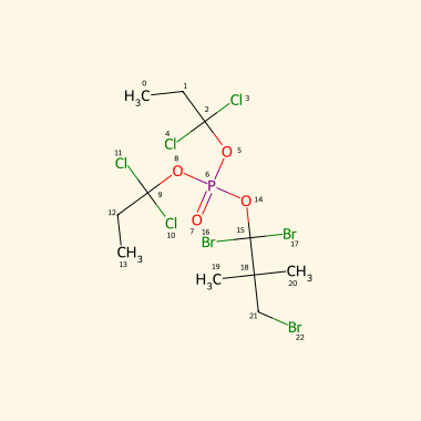 CCC(Cl)(Cl)OP(=O)(OC(Cl)(Cl)CC)OC(Br)(Br)C(C)(C)CBr